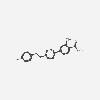 CCCC(=O)c1ccc(-c2ccc(CCc3ccc(C)cc3)cc2)cc1O